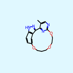 Cc1cnc2nc1-c1n[nH]c3ccc(cc13)OCCCOCCO2